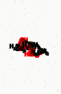 CCC(C)(C)c1ccc(S(=O)(=O)c2ccc(Sc3ccc(-c4ccc(SC(C)(C)C(C)(CC)c5ccc(S(=O)(=O)c6ccc(Oc7ccc(Oc8ccc(OC(C)(C)C)cc8)cc7)c(S(=O)(=O)O)c6)cc5S(=O)(=O)O)cc4)cc3)c(S(=O)(=O)O)c2)cc1S(=O)(=O)O